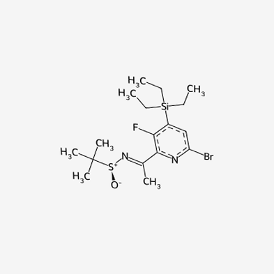 CC[Si](CC)(CC)c1cc(Br)nc(/C(C)=N/[S@@+]([O-])C(C)(C)C)c1F